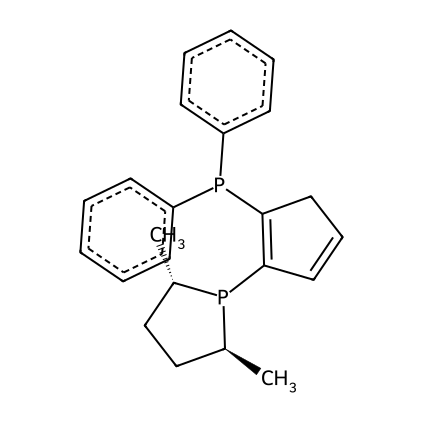 C[C@H]1CC[C@H](C)P1C1=C(P(c2ccccc2)c2ccccc2)CC=C1